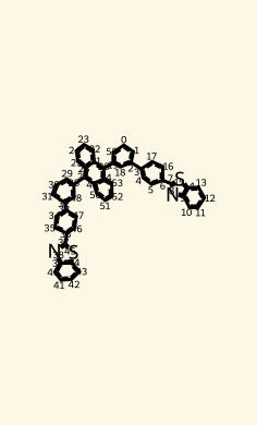 c1cc(-c2ccc(-c3nc4ccccc4s3)cc2)cc(-c2c3ccccc3c(-c3cccc(-c4ccc(-c5nc6ccccc6s5)cc4)c3)c3ccccc23)c1